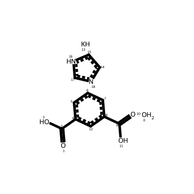 O.O=C(O)c1cccc(C(=O)O)c1.[KH].c1c[nH]cn1